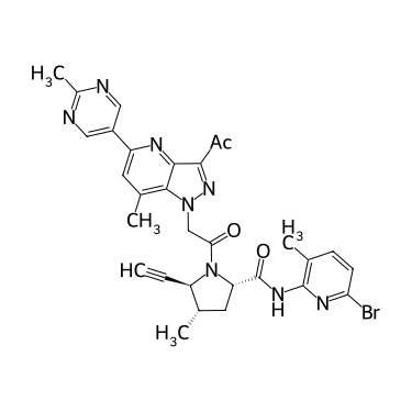 C#C[C@@H]1[C@@H](C)C[C@@H](C(=O)Nc2nc(Br)ccc2C)N1C(=O)Cn1nc(C(C)=O)c2nc(-c3cnc(C)nc3)cc(C)c21